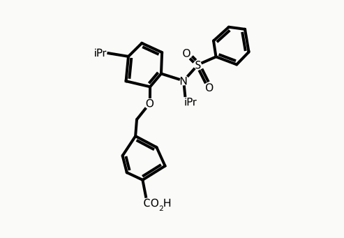 CC(C)c1ccc(N(C(C)C)S(=O)(=O)c2ccccc2)c(OCc2ccc(C(=O)O)cc2)c1